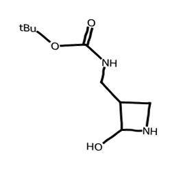 CC(C)(C)OC(=O)NCC1CNC1O